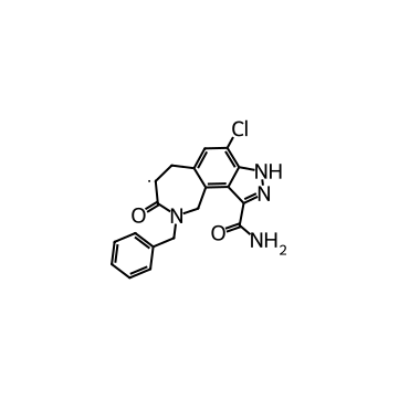 NC(=O)c1n[nH]c2c(Cl)cc3c(c12)CN(Cc1ccccc1)C(=O)[CH]C3